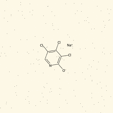 [Na+].[O-]c1ncc(Cl)c(Cl)c1Cl